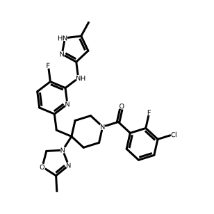 CC1=NN(C2(Cc3ccc(F)c(Nc4cc(C)[nH]n4)n3)CCN(C(=O)c3cccc(Cl)c3F)CC2)CO1